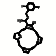 [2H]C1=C(C(C)OCc2cc(F)ccc2F)C2=CC3=NC(=CC4=NC(=CC5=NC(=CC1=N2)C=C5)C=C4)C=C3